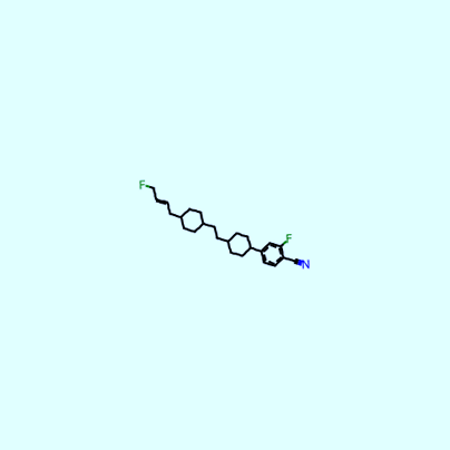 N#Cc1ccc(C2CCC(CCC3CCC(C/C=C/CF)CC3)CC2)cc1F